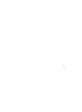 C[C@@H]1CN(c2ccc(OC(F)(F)F)c(C#N)c2)CCN1C(=O)NCC[C@H]1CCN(Cc2ccccc2)C1